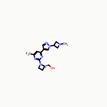 CN1CC(n2cc(-c3cc(C(F)(F)F)nc(N4CC[C@@H]4CO)n3)cn2)C1